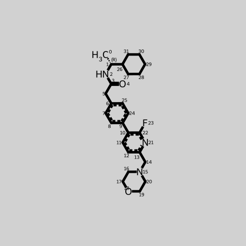 C[C@@H](NC(=O)Cc1ccc(-c2ccc(CN3CCOCC3)nc2F)cc1)C1CCCCC1